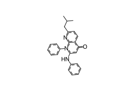 CC(C)Cc1ccc2c(=O)cc(Nc3ccccc3)n(-c3ccccc3)c2n1